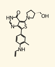 C=CNc1ccc(-c2sc(N3CC[C@H](CO)C3)c3c(=O)[nH]cnc23)cc1C